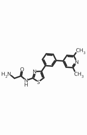 Cc1cc(-c2cccc(-c3csc(NC(=O)CN)n3)c2)cc(C)n1